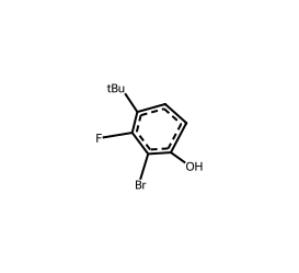 CC(C)(C)c1ccc(O)c(Br)c1F